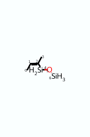 CC=C(C)[SiH2]O[SiH3]